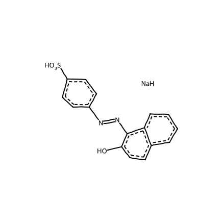 O=S(=O)(O)c1ccc(/N=N/c2c(O)ccc3ccccc23)cc1.[NaH]